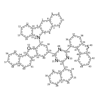 c1ccc2cc3c(cc2c1)c1ccccc1n3-c1cc(-c2nc(-c3cccc4ccccc34)nc(-c3cccc4sc5ccccc5c34)n2)cc2c1oc1c3ccccc3ccc21